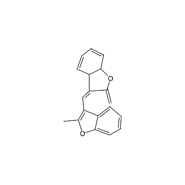 C=C1OC2C=CC=CC2/C1=C/c1c(C)oc2ccccc12